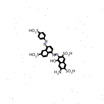 Nc1cc2c(O)c(/N=N/c3ccc(/N=N/c4ccc(S(=O)(=O)O)cc4)c4cc(S(=O)(=O)O)ccc34)c(S(=O)(=O)O)cc2cc1S(=O)(=O)O